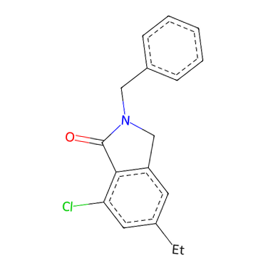 CCc1cc(Cl)c2c(c1)CN(Cc1ccccc1)C2=O